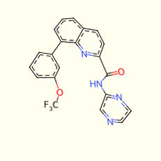 O=C(Nc1cnccn1)c1ccc2cccc(-c3cccc(OC(F)(F)F)c3)c2n1